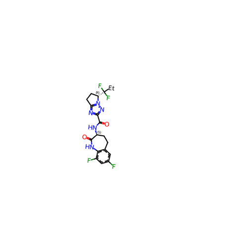 CCC(F)(F)[C@H]1CCc2nc(C(=O)N[C@H]3CCc4cc(F)cc(F)c4NC3=O)nn21